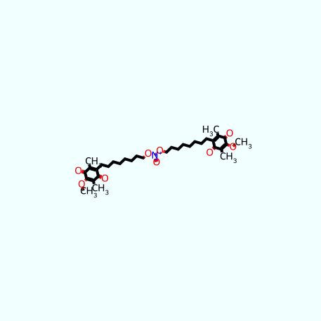 COC1=C(C)C(=O)C(CCCCCCCCO[N+](=O)OCCCCCCCCC2=C(C)C(=O)C(OC)=C(C)C2=O)=C(C)C1=O